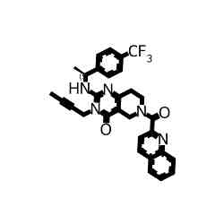 CC#CCn1c(N[C@@H](C)c2ccc(C(F)(F)F)cc2)nc2c(c1=O)CN(C(=O)c1ccc3ccccc3n1)CC2